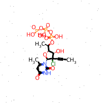 CC#CC1(Cl)[C@@H](O)[C@@H]([C@@H](C)OP(=O)(O)OP(=O)(O)OP(=O)(O)O)O[C@H]1n1c(C)cc(=O)[nH]c1=O